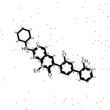 CCn1c(=O)c(-c2ccc(-c3cccnc3C)cc2Cl)cc2cnc(NC3CCCCC3)nc21